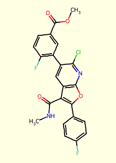 CNC(=O)c1c(-c2ccc(F)cc2)oc2nc(Cl)c(-c3cc(C(=O)OC)ccc3F)cc12